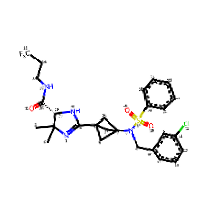 CC1(C)N=C(C23CC(N(Cc4cccc(Cl)c4)S(=O)(=O)c4ccccc4)(C2)C3)N[C@H]1C(=O)NCCC(F)(F)F